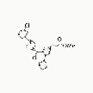 COC(=O)CCn1cc(C(=O)N2CCN(c3cccc(Cl)c3)CC2)c(-c2ccccc2)c1